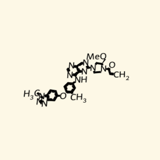 C=CC(=O)N1CCN(c2ncc3ncnc(Nc4ccc(Oc5ccc6c(c5)nnn6C)c(C)c4)c3n2)C[C@H]1COC